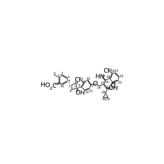 Cc1ccc([C@H]2C[C@@](O)(c3ccc(OC/C(C(=N)c4c(Cl)cccc4Cl)=C(/O)C4CC4)cc3Cl)C2)cc1C(=O)O